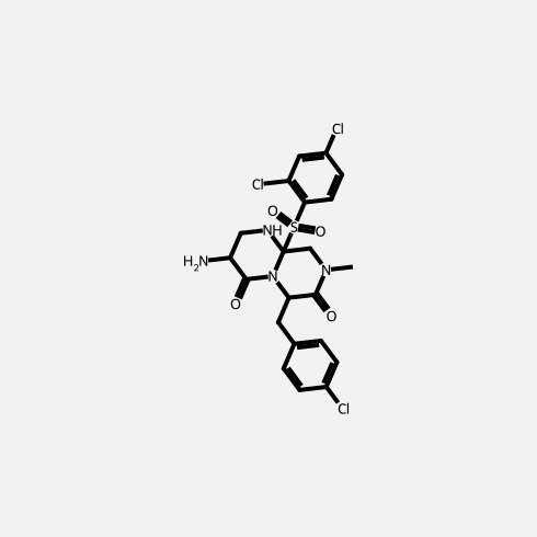 CN1CC2(S(=O)(=O)c3ccc(Cl)cc3Cl)NCC(N)C(=O)N2C(Cc2ccc(Cl)cc2)C1=O